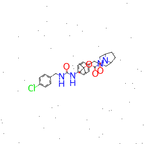 CC(C)(C)OC(=O)N1CC2CCC(C1)N2C(=O)Cc1ccc(NC(=O)NCc2ccc(Cl)cc2)cc1